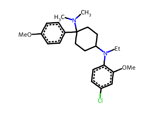 CCN(c1ccc(Cl)cc1OC)C1CCC(c2ccc(OC)cc2)(N(C)C)CC1